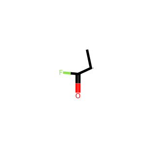 C[CH]C(=O)F